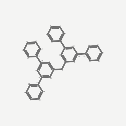 c1ccc(-c2cc(Cc3cc(-c4ccccc4)cc(-c4ccccc4)c3)cc(-c3ccccc3)c2)cc1